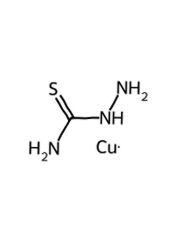 NNC(N)=S.[Cu]